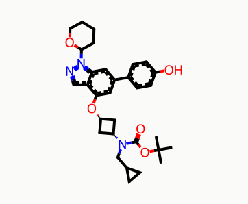 CC(C)(C)OC(=O)N(CC1CC1)[C@H]1C[C@@H](Oc2cc(-c3ccc(O)cc3)cc3c2cnn3C2CCCCO2)C1